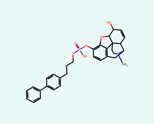 CN1CCC23c4c5ccc(OP(=O)(O)OCCCc6ccc(-c7ccccc7)cc6)c4OC2C(O)C=CC3C1C5